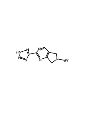 CC(C)N1Cc2cnc(-c3nn[nH]n3)nc2C1